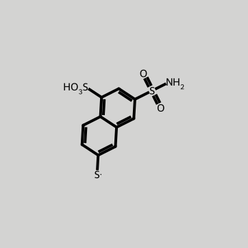 NS(=O)(=O)c1cc(S(=O)(=O)O)c2ccc([S])cc2c1